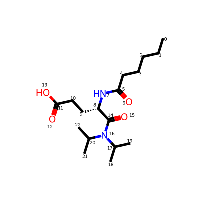 CCCCCC(=O)N[C@@H](CCC(=O)O)C(=O)N(C(C)C)C(C)C